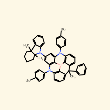 CC(C)(C)c1ccc(N2c3cc(N4c5ccccc5C5(C)CCCCC45C)cc4c3B3c5c2cccc5C(C)(c2ccccc2)c2cccc(c23)N4c2ccc(C(C)(C)C)cc2)cc1